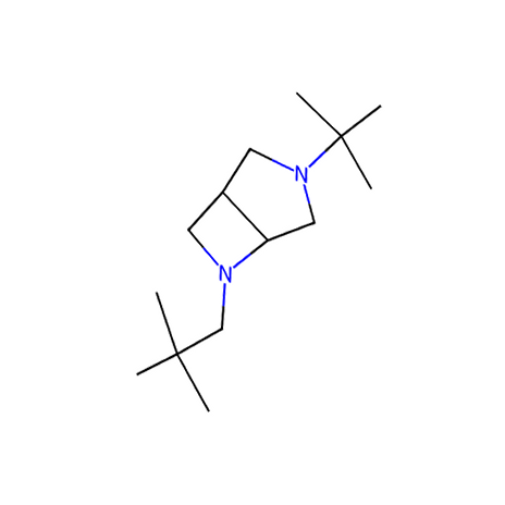 CC(C)(C)CN1CC2CN(C(C)(C)C)CC21